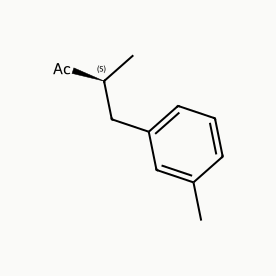 CC(=O)[C@@H](C)Cc1cccc(C)c1